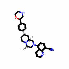 C[C@@H]1CN(c2ccc(C#N)c3ncccc23)C[C@@H]2C[C@@H](c3ccc(C4CNCCO4)cc3)CCN21